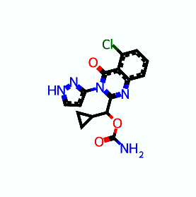 NC(=O)OC(c1nc2cccc(Cl)c2c(=O)n1-c1cc[nH]n1)C1CC1